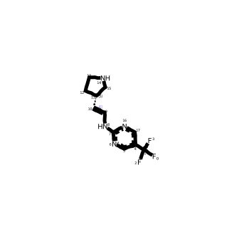 FC(F)(F)c1cnc(N/C=C/[C@@H]2CCNC2)nc1